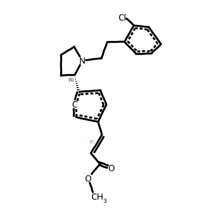 COC(=O)/C=C/c1ccc([C@@H]2CCCN2CCc2ccccc2Cl)cc1